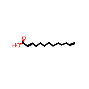 C=CCCCCCCCCC=CC(=O)O